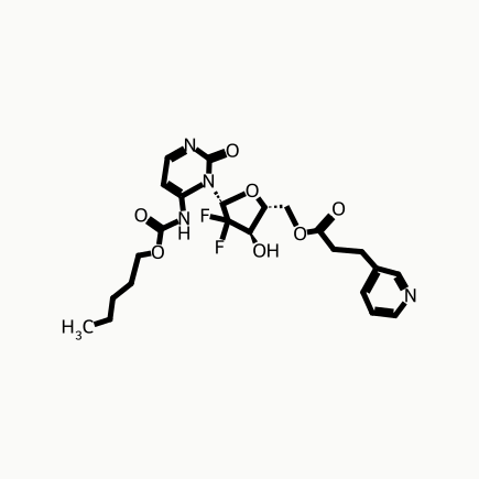 CCCCCOC(=O)Nc1ccnc(=O)n1[C@@H]1O[C@H](COC(=O)CCc2cccnc2)[C@@H](O)C1(F)F